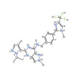 Cc1cnn(C(C)C)c1-c1nc(N(C)Cc2ccc(-c3nc(C(F)(F)F)cn3C)cc2)c2nn(C)cc2n1